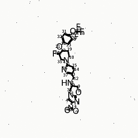 O=[N+]([O-])c1cn2c(n1)OC[C@@H](NCc1ccc(N3CCC(Oc4ccc(OC(F)(F)F)cc4)C(F)C3)nc1)C2